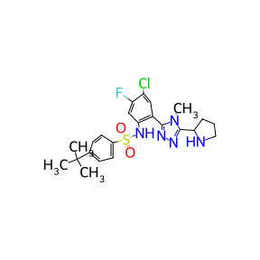 Cn1c(-c2cc(Cl)c(F)cc2NS(=O)(=O)c2ccc(C(C)(C)C)cc2)nnc1C1CCCN1